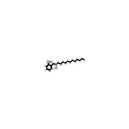 CCCCCCCCCCCCNCc1ccccc1O